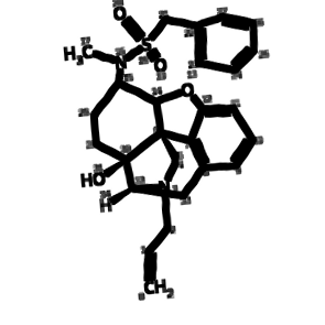 C=CCN1CC[C@]23c4c5cccc4OC2C(N(C)S(=O)(=O)Cc2ccccc2)CC[C@@]3(O)[C@H]1C5